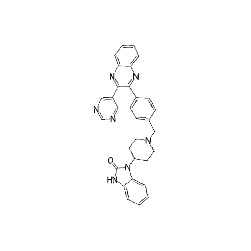 O=c1[nH]c2ccccc2n1C1CCN(Cc2ccc(-c3nc4ccccc4nc3-c3cncnc3)cc2)CC1